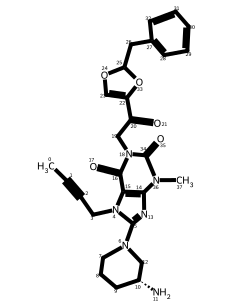 CC#CCn1c(N2CCC[C@@H](N)C2)nc2c1c(=O)n(CC(=O)C1=COC(Cc3ccccc3)O1)c(=O)n2C